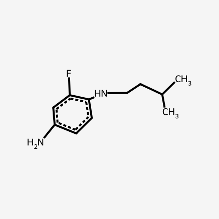 CC(C)CCNc1ccc(N)cc1F